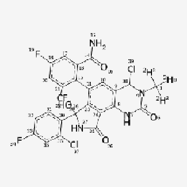 [2H]C([2H])([2H])N1C(=O)Nc2c(cc(-c3c(C(N)=O)cc(F)cc3C(F)(F)F)c3c2C(=O)NC3(O)c2ccc(F)cc2Cl)C1Cl